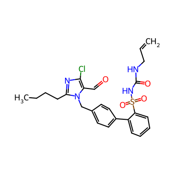 C=CCNC(=O)NS(=O)(=O)c1ccccc1-c1ccc(Cn2c(CCCC)nc(Cl)c2C=O)cc1